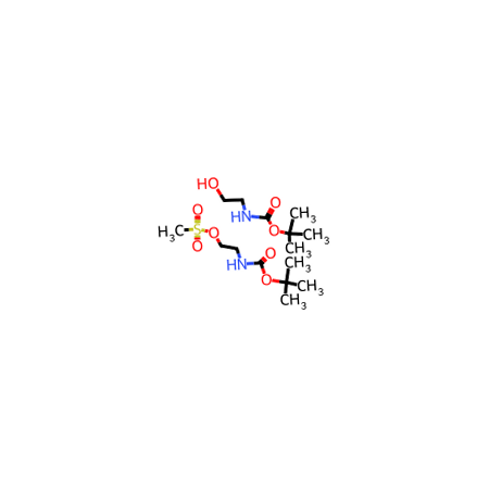 CC(C)(C)OC(=O)NCCO.CC(C)(C)OC(=O)NCCOS(C)(=O)=O